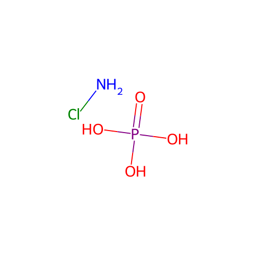 NCl.O=P(O)(O)O